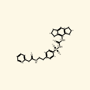 O=C(Cc1ccccn1)NCCc1ccc(S(=O)(=O)NC(=O)Nc2c3c(cc4c2CCC4)CCC3)cc1